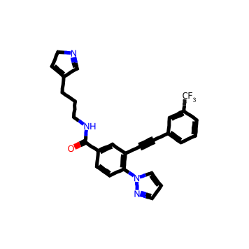 O=C(NCCCC1=CCN=C1)c1ccc(-n2cccn2)c(C#Cc2cccc(C(F)(F)F)c2)c1